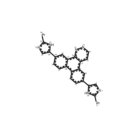 CC(C)c1ncc(-c2ccc3c(c2)c2ccnnc2c2cc(-c4cnc(C(C)C)[nH]4)ccc32)[nH]1